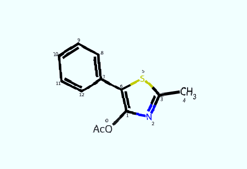 CC(=O)Oc1nc(C)sc1-c1ccccc1